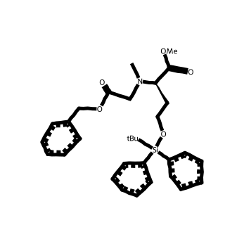 COC(=O)[C@@H](CCO[Si](c1ccccc1)(c1ccccc1)C(C)(C)C)N(C)CC(=O)OCc1ccccc1